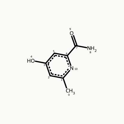 Cc1cc(O)cc(C(N)=O)n1